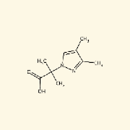 Cc1cn(C(C)(C)C(=O)O)nc1C